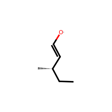 CC[C@H](C)C=C[O]